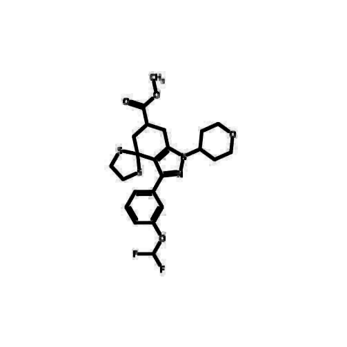 COC(=O)C1Cc2c(c(-c3cccc(OC(F)F)c3)nn2C2CCOCC2)C2(C1)SCCS2